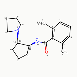 COc1cccc(C(F)(F)F)c1C(=O)N[C@H]1CCC[C@H]1N1CCCC1